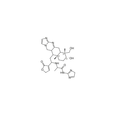 CC(NC(CC1C2Cn3ccnc3N=C2CC2[C@]1(C)CC[C@@H](O)[C@@]2(C)CO)C1=CCOC1=O)C(=O)NC1=NCC=N1